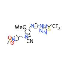 C=CS(=O)(=O)N1CCC(CCn2c(C#N)cc3cc(CN4CCC(Nc5ncnc6sc(CC(F)(F)F)cc56)CC4)c(OC)cc32)CC1